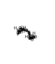 CC(O)C(C)c1cc2nc([C@H]3CC[C@H](CN4CCC5(CC4)CC(CNc4cccc6c4C(=O)N(C4CCC(=O)NC4=O)C6=O)C5)CC3)sc2cc1NC(=O)c1cccc(C(F)(F)F)n1